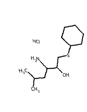 CC(C)CC(N)C(O)CSC1CCCCC1.Cl